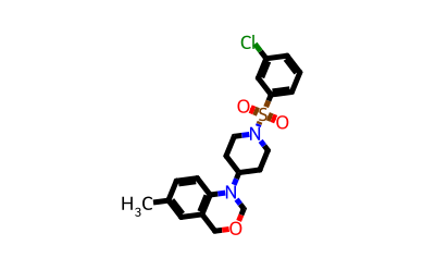 Cc1ccc2c(c1)COCN2C1CCN(S(=O)(=O)c2cccc(Cl)c2)CC1